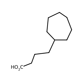 O=C(O)CCCC1CCCCCC1